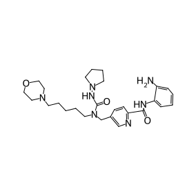 Nc1ccccc1NC(=O)c1ccc(CN(CCCCCN2CCOCC2)C(=O)NN2CCCC2)cn1